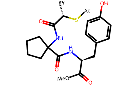 COC(=O)[C@H](Cc1ccc(O)cc1)NC(=O)C1(NC(=O)[C@@H](SC(C)=O)C(C)C)CCCC1